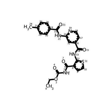 CCOC(=O)NC(=O)c1ccsc1NC(=O)c1ccnc(NC(=O)c2ccc(C)cc2)c1